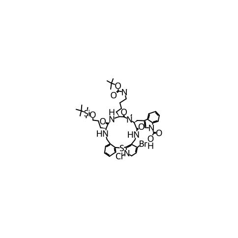 CN(CCCC[C@@H]1NC(=O)[C@H](CCCO[Si](C)(C)C(C)(C)C)NCc2ccccc2SC2=C(CNC(=O)[C@H](Cc3cn(C(=O)O)c4ccccc34)N(C)C1=O)C(Br)=CCN2Cl)C(=O)OC(C)(C)C